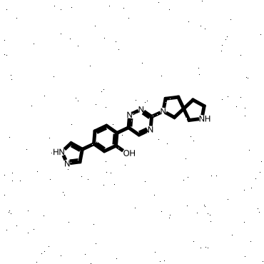 Oc1cc(-c2cn[nH]c2)ccc1-c1cnc(N2CCC3(CCNC3)C2)nn1